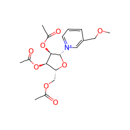 COCc1ccc[n+]([C@@H]2O[C@H](COC(C)=O)[C@@H](OC(C)=O)[C@H]2OC(C)=O)c1